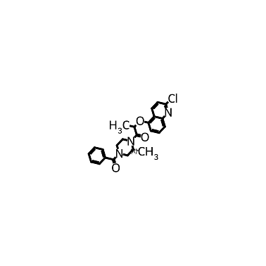 CC(Oc1cccc2nc(Cl)ccc12)C(=O)N1CCN(C(=O)c2ccccc2)C[C@H]1C